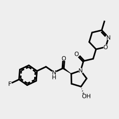 CC1=NOC(CC(=O)N2C[C@H](O)C[C@H]2C(=O)NCc2ccc(F)cc2)CC1